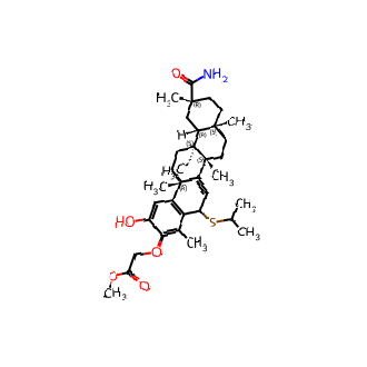 CC[C@@]12CC[C@]3(C)C(=CC(SC(C)C)c4c3cc(O)c(OCC(=O)OC)c4C)[C@@]1(C)CC[C@@]1(C)CC[C@@](C)(C(N)=O)C[C@H]12